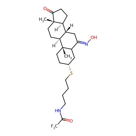 C[C@]12CC[C@@H](SCCCCNC(=O)C(F)(F)F)CC1C(=NO)C[C@@H]1[C@@H]2CC[C@]2(C)C(=O)CC[C@@H]12